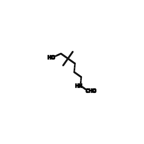 CC(C)(CO)CCCNC=O